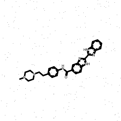 CN1CCN(CCc2ccc(NC(=O)c3ccc4[nH]c(-c5nc6ccccc6[nH]5)nc4c3)cc2)CC1